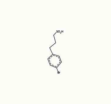 O=S(=O)(O)CCCc1ccc(Br)cc1